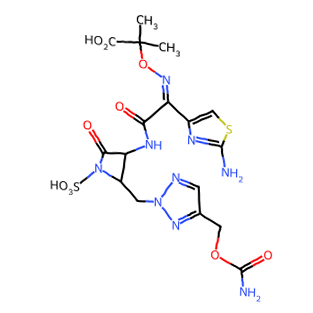 CC(C)(O/N=C(\C(=O)NC1C(=O)N(S(=O)(=O)O)C1Cn1ncc(COC(N)=O)n1)c1csc(N)n1)C(=O)O